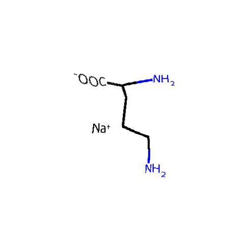 NCCC(N)C(=O)[O-].[Na+]